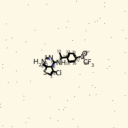 C=c1scc(Cl)/c1=C(/N=C\N)NC(C)c1ccc([S+]([O-])C(F)(F)F)cc1